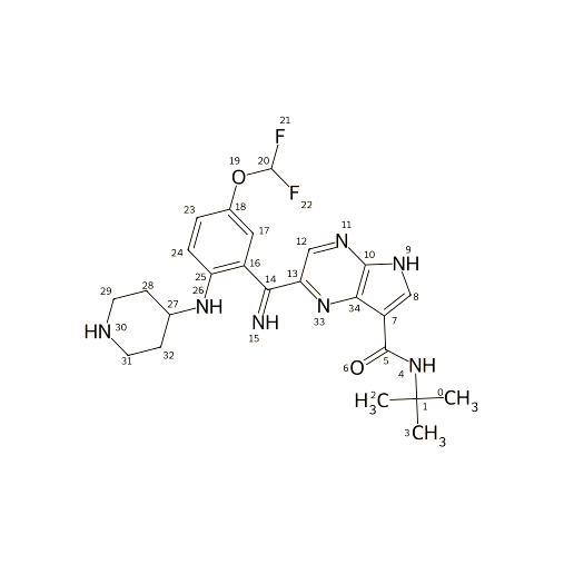 CC(C)(C)NC(=O)c1c[nH]c2ncc(C(=N)c3cc(OC(F)F)ccc3NC3CCNCC3)nc12